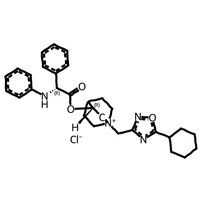 O=C(O[C@H]1C[N+]2(Cc3noc(C4CCCCC4)n3)CCC1CC2)[C@H](Nc1ccccc1)c1ccccc1.[Cl-]